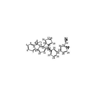 C[Si]1(C)c2ccccc2-c2ccc3c(c21)c1ccccc1n3-c1cccc(-c2ccnc(C#N)c2)c1